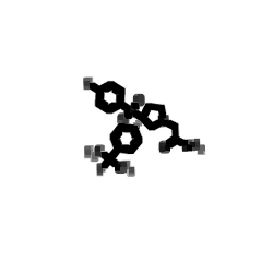 NC(=O)CN1CC[C@](c2ccc(C(F)(C(F)(F)F)C(F)(F)F)cc2)(S(=O)(=O)c2ccc(F)cc2)C1